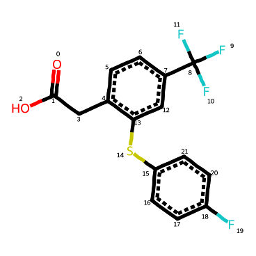 O=C(O)Cc1ccc(C(F)(F)F)cc1Sc1ccc(F)cc1